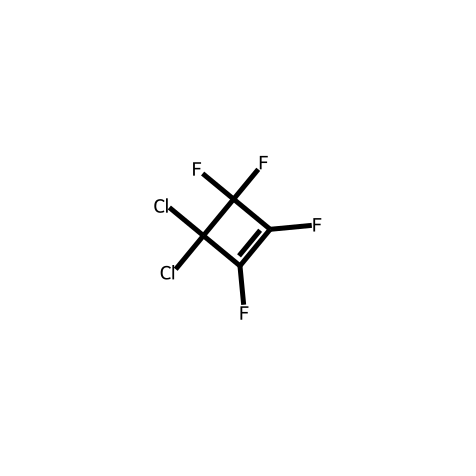 FC1=C(F)C(Cl)(Cl)C1(F)F